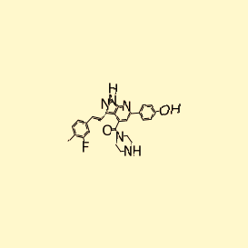 Cc1ccc(C=Cc2n[nH]c3nc(-c4ccc(O)cc4)cc(C(=O)N4CCNCC4)c23)cc1F